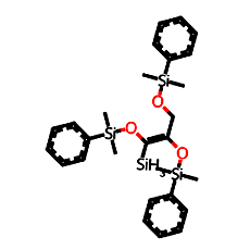 C[Si](C)(OCC(O[Si](C)(C)c1ccccc1)=C([SiH3])O[Si](C)(C)c1ccccc1)c1ccccc1